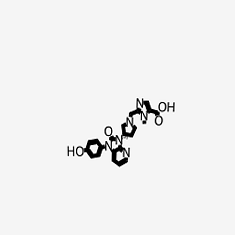 Cn1c(C(=O)O)cnc1CN1CC[C@H](n2c(=O)n(-c3ccc(O)cc3)c3cccnc32)C1